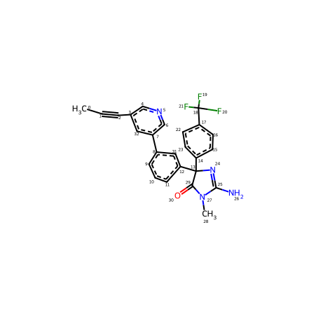 CC#Cc1cncc(-c2cccc(C3(c4ccc(C(F)(F)F)cc4)N=C(N)N(C)C3=O)c2)c1